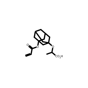 C=CC(=O)OC12CC3CC(C1)CC(OC(C)C(=O)O)(C3)C2